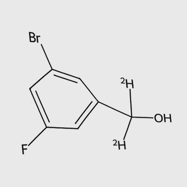 [2H]C([2H])(O)c1cc(F)cc(Br)c1